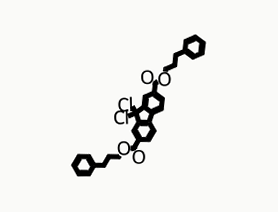 O=C(OCCCc1ccccc1)c1ccc2c(c1)C(Cl)(Cl)c1cc(C(=O)OCCCc3ccccc3)ccc1-2